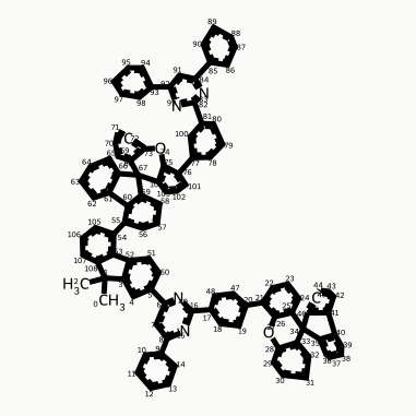 CC1(C)c2cc(-c3cc(-c4ccccc4)nc(-c4ccc(-c5cccc6c5Oc5ccccc5C65c6ccccc6-c6ccccc65)cc4)n3)ccc2-c2c(-c3cccc4c3-c3ccccc3C43c4ccccc4Oc4c(-c5cccc(-c6nc(-c7ccccc7)cc(-c7ccccc7)n6)c5)cccc43)cccc21